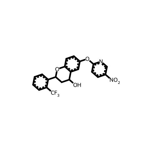 O=[N+]([O-])c1ccc(Oc2ccc3c(c2)C(O)CC(c2ccccc2C(F)(F)F)O3)nc1